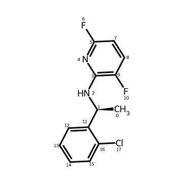 C[C@H](Nc1nc(F)ccc1F)c1ccccc1Cl